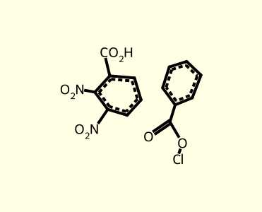 O=C(O)c1cccc([N+](=O)[O-])c1[N+](=O)[O-].O=C(OCl)c1ccccc1